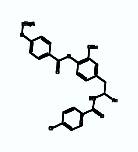 CCCCCCCOc1ccc(C(=O)Oc2ccc(CC(NC(=O)c3ccc(Cl)cc3)C(C)=O)cc2OC)cc1